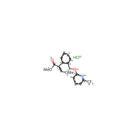 CO/C=C(/C(=O)OC)c1ccccc1COc1cccc(C(F)(F)F)n1.Cl